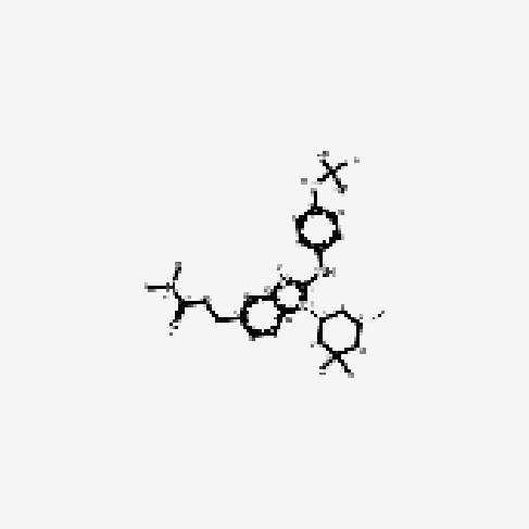 C[C@H]1C[C@@H](n2c(Nc3ccc(OC(F)(F)F)cc3)nc3cc(CCC(=O)N(C)C)ccc32)CC(C)(C)C1